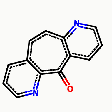 O=c1c2cccnc2ccc2cccnc12